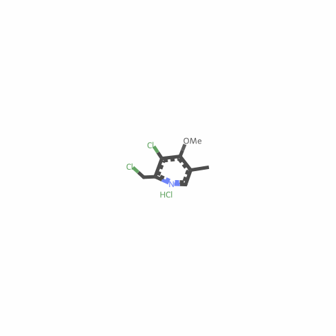 COc1c(C)cnc(CCl)c1Cl.Cl